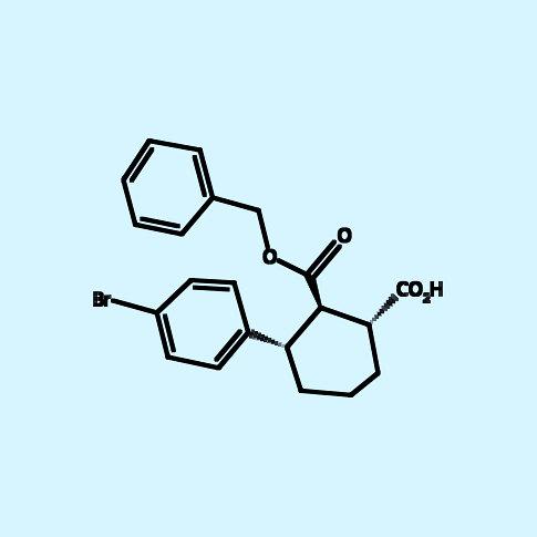 O=C(OCc1ccccc1)[C@@H]1[C@@H](c2ccc(Br)cc2)CCC[C@H]1C(=O)O